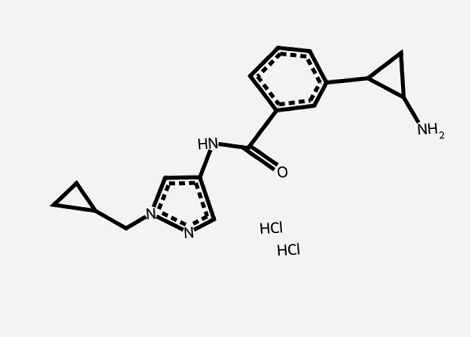 Cl.Cl.NC1CC1c1cccc(C(=O)Nc2cnn(CC3CC3)c2)c1